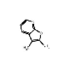 Cc1c(N)oc2ncccc12